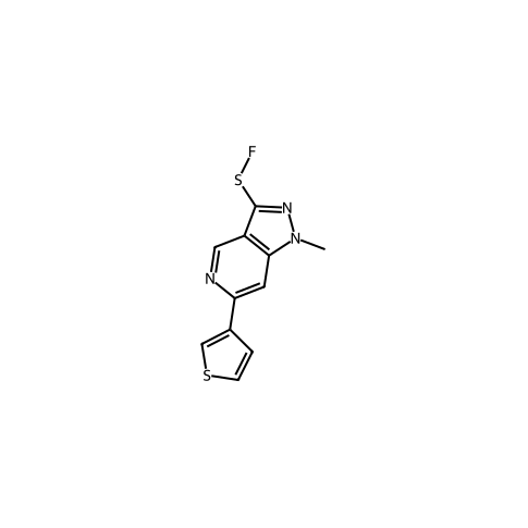 Cn1nc(SF)c2cnc(-c3ccsc3)cc21